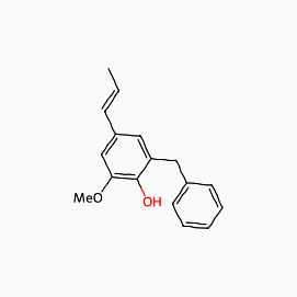 CC=Cc1cc(Cc2ccccc2)c(O)c(OC)c1